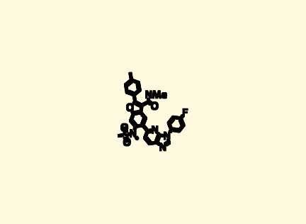 CNC(=O)c1c(-c2ccc(C)cc2)oc2cc(N(C)S(C)(=O)=O)c(-c3ccc4ncn(-c5ccc(F)cc5)c4n3)cc12